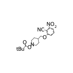 CC(C)(C)C(=O)ON1CCC(COc2cccc([N+](=O)[O-])c2C#N)CC1